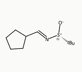 CC(C)(C)[S@@+]([O-])N=CC1CCCC1